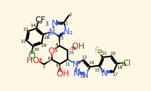 Cc1nc([C@@H]2O[C@H](CO)[C@H](O)[C@H](n3cc(-c4ncc(Cl)cc4F)nn3)[C@H]2O)n(-c2cc(Cl)ccc2C(F)(F)F)n1